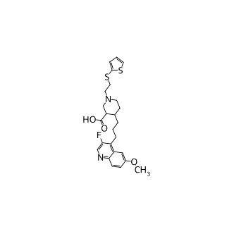 COc1ccc2ncc(F)c(CCCC3CCN(CCSc4cccs4)CC3C(=O)O)c2c1